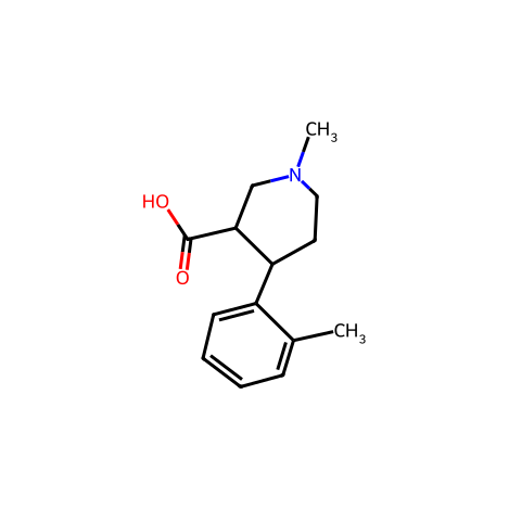 Cc1ccccc1C1CCN(C)CC1C(=O)O